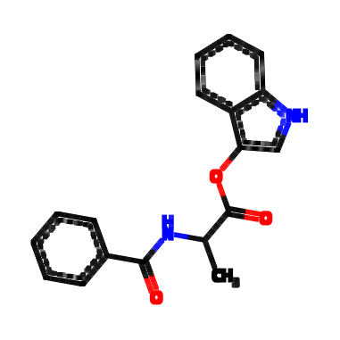 CC(NC(=O)c1ccccc1)C(=O)Oc1c[nH]c2ccccc12